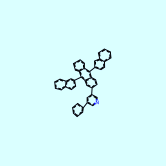 c1ccc(-c2cncc(-c3ccc4c(-c5ccc6ccccc6c5)c5ccccc5c(-c5ccc6ccccc6c5)c4c3)c2)cc1